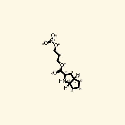 O=C(OCCCO[N+](=O)[O-])C1C[C@@H]2CCC[C@@H]2N1